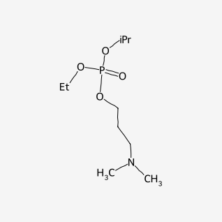 CCOP(=O)(OCCCN(C)C)OC(C)C